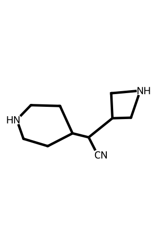 N#CC(C1CCNCC1)C1CNC1